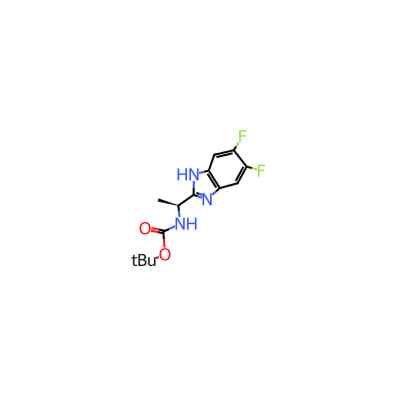 C[C@H](NC(=O)OC(C)(C)C)c1nc2cc(F)c(F)cc2[nH]1